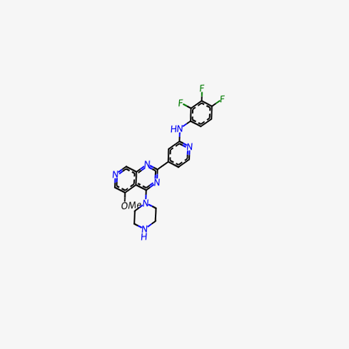 COc1cncc2nc(-c3ccnc(Nc4ccc(F)c(F)c4F)c3)nc(N3CCNCC3)c12